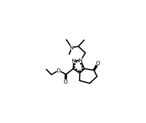 CCOC(=O)c1nn(CC(C)N(C)C)c2c1CCCC2=O